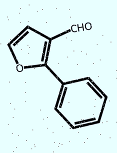 O=Cc1ccoc1-c1c[c]ccc1